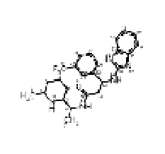 CC1CCCC(C(C)NC(=O)CC(Nc2nc3ccccc3[nH]2)c2cccc(C(F)(F)F)c2)N1